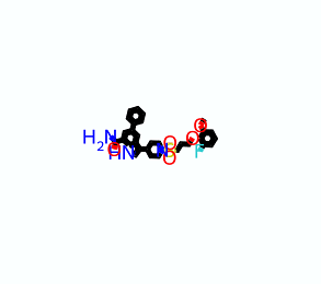 COc1cccc(F)c1OCCCS(=O)(=O)N1CCC(c2c[nH]c3c(C(N)=O)cc(-c4ccccc4)cc23)CC1